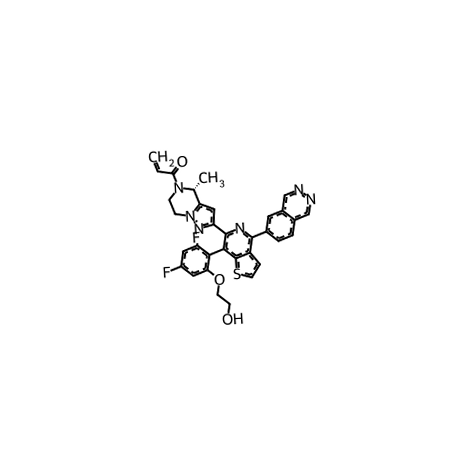 C=CC(=O)N1CCn2nc(-c3nc(-c4ccc5cnncc5c4)c4ccsc4c3-c3c(F)cc(F)cc3OCCO)cc2[C@H]1C